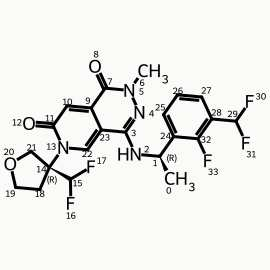 C[C@@H](Nc1nn(C)c(=O)c2cc(=O)n([C@]3(C(F)F)CCOC3)cc12)c1cccc(C(F)F)c1F